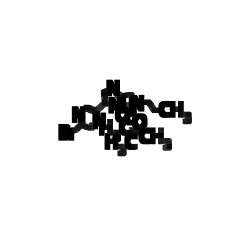 CCCN(Cc1ncc(-c2cnc(Br)cn2)[nH]1)C(=O)OC(C)(C)C